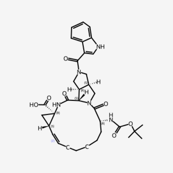 CC(C)(C)OC(=O)N[C@@H]1CCCCC/C=C\[C@@H]2C[C@@]2(C(=O)O)NC(=O)[C@@H]2[C@H]3CN(C(=O)c4c[nH]c5ccccc45)C[C@H]3CN2C1=O